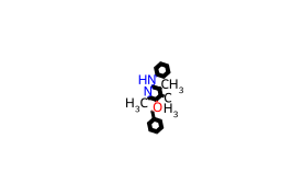 Cc1nc(Nc2ccccc2)c(C)c(C)c1OCc1ccccc1